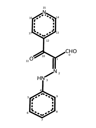 O=CC(=NNc1ccccc1)C(=O)c1ccncc1